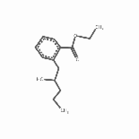 CCCC(O)Cc1ccccc1C(=O)OCC